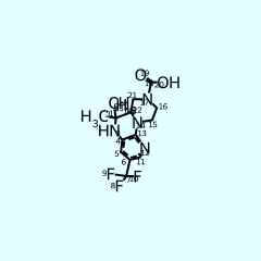 CC1(C)Nc2cc(C(F)(F)F)cnc2N2CCN(C(=O)O)C[C@@H]21